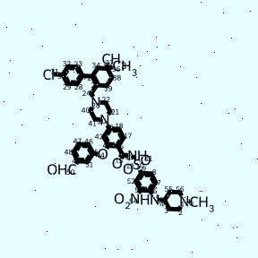 CN1CCC(Nc2ccc(S(=O)(=O)NC(=O)c3ccc(N4CCN(CC5=C(c6ccc(Cl)cc6)CC(C)(C)CC5)CC4)cc3Oc3cccc(C=O)c3)cc2[N+](=O)[O-])CC1